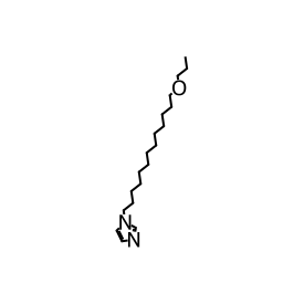 CCCOCCCCCCCCCCCCCn1ccnc1